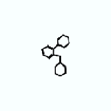 c1ccc(C2CCCCC2)c(CC2CCCCC2)c1